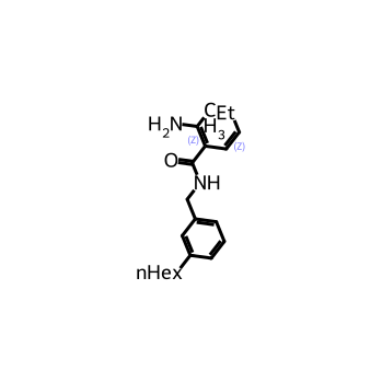 CC/C=C\C(C(=O)NCc1cccc(CCCCCC)c1)=C(/C)N